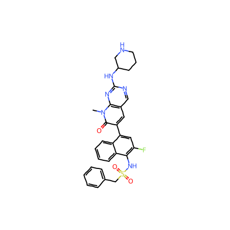 Cn1c(=O)c(-c2cc(F)c(NS(=O)(=O)Cc3ccccc3)c3ccccc23)cc2cnc(NC3CCCNC3)nc21